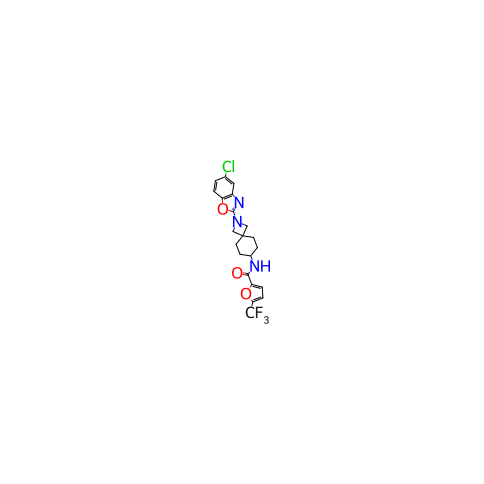 O=C(NC1CCC2(CC1)CN(c1nc3cc(Cl)ccc3o1)C2)c1ccc(C(F)(F)F)o1